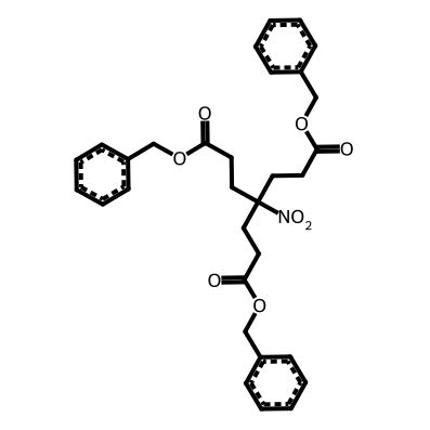 O=C(CCC(CCC(=O)OCc1ccccc1)(CCC(=O)OCc1ccccc1)[N+](=O)[O-])OCc1ccccc1